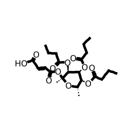 CCCC(=O)O[C@@H]1[C@H](OC(=O)CCC)[C@H](C)O[C@@](C)(OC(=O)/C=C/C(=O)O)[C@H]1OC(=O)CCC